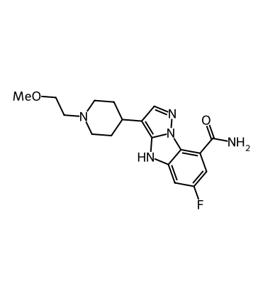 COCCN1CCC(c2cnn3c2[nH]c2cc(F)cc(C(N)=O)c23)CC1